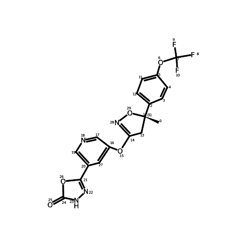 C[C@@]1(c2ccc(OC(F)(F)F)cc2)CC(Oc2cncc(-c3n[nH]c(=O)o3)c2)=NO1